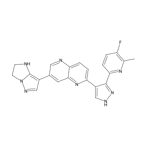 Cc1nc(-c2n[nH]cc2-c2ccc3ncc(-c4cnn5c4NCC5)cc3n2)ccc1F